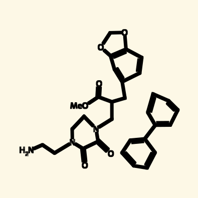 COC(=O)C(Cc1ccc2c(c1)OCO2)CN1CCN(CCN)C(=O)C1=O.c1ccc(-c2ccccc2)cc1